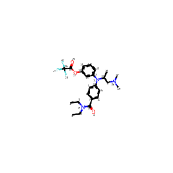 CCN(CC)C(=O)c1ccc(N(c2cccc(OC(=O)C(F)(F)F)c2)C(C)CN(C)C)cc1